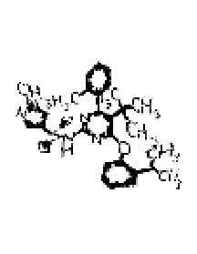 Cc1ccccc1-c1nc(NS(=O)(=O)c2cnn(C)c2)nc(Oc2ccccc2C(C)C)c1C(C)(C)C